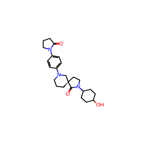 O=C1CCCN1c1ccc(N2CCC[C@]3(CCN(C4CCC(O)CC4)C3=O)C2)cc1